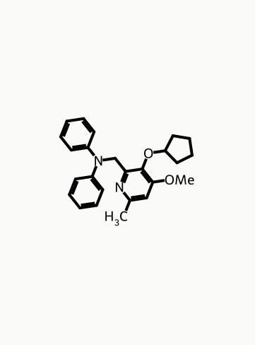 COc1cc(C)nc(CN(c2ccccc2)c2ccccc2)c1OC1CCCC1